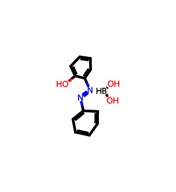 OBO.Oc1ccccc1N=Nc1ccccc1